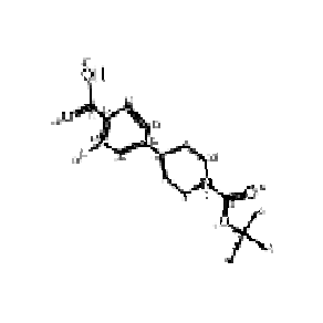 CC(C)(C)OC(=O)N1CCC(c2ccc(C(=O)O)c(F)c2)CC1